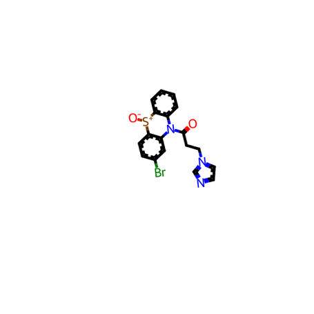 O=C(CCn1ccnc1)N1c2ccccc2[S+]([O-])c2ccc(Br)cc21